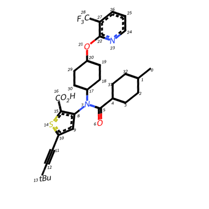 CC1CCC(C(=O)N(c2cc(C#CC(C)(C)C)sc2C(=O)O)C2CCC(Oc3ncccc3C(F)(F)F)CC2)CC1